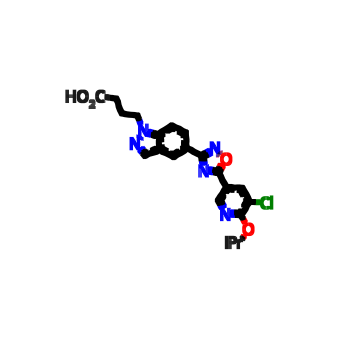 CC(C)Oc1ncc(-c2nc(-c3ccc4c(cnn4CCCC(=O)O)c3)no2)cc1Cl